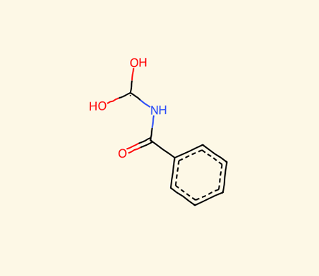 O=C(N[C](O)O)c1ccccc1